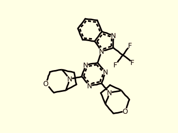 FC(F)(F)c1nc2ccccc2n1-c1nc(N2C3CCC2COC3)nc(N2C3CCC2COC3)n1